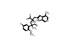 COc1ccc(F)cc1C(C)(CF)CC(O)(Cc1cc2c(C)cncc2[nH]1)C(F)F